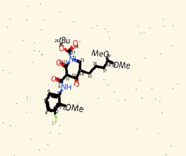 COc1c(F)cccc1NC(=O)C1C(=O)C(CCCC(OC)OC)CN(C(=O)OC(C)(C)C)C1=O